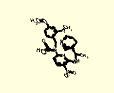 COc1ccc(CN(C(=O)O)c2ccc([N+](=O)[O-])c(NC(C)c3cccnc3)n2)c(OC)c1